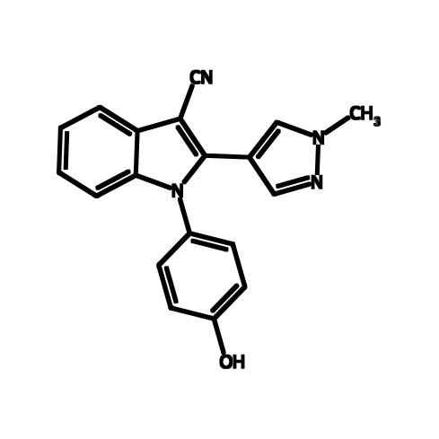 Cn1cc(-c2c(C#N)c3ccccc3n2-c2ccc(O)cc2)cn1